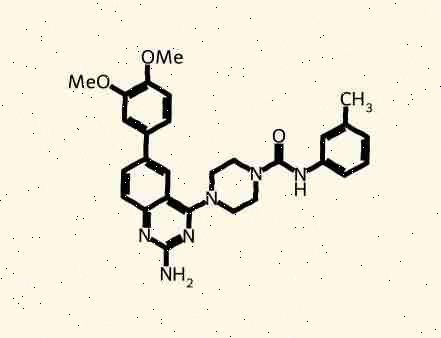 COc1ccc(-c2ccc3nc(N)nc(N4CCN(C(=O)Nc5cccc(C)c5)CC4)c3c2)cc1OC